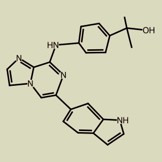 CC(C)(O)c1ccc(Nc2nc(-c3ccc4cc[nH]c4c3)cn3ccnc23)cc1